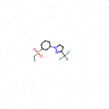 CCS(=O)(=O)c1[c]ccc(-n2ccc(C(F)(F)F)n2)c1